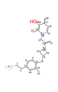 BCCc1ccc(CC2CN(C(=C)CN3C=CC(=C)C(O)=C3C)C2)c(C)c1